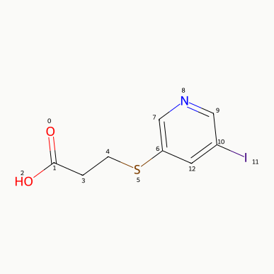 O=C(O)CCSc1cncc(I)c1